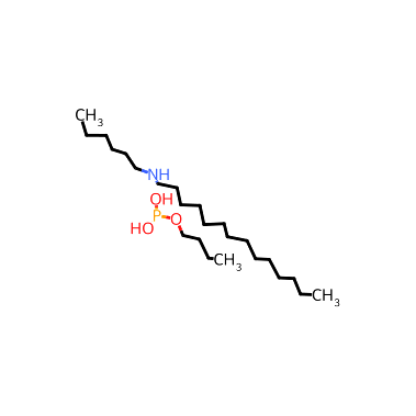 CCCCCCCCCCCCCCNCCCCCC.CCCCOP(O)O